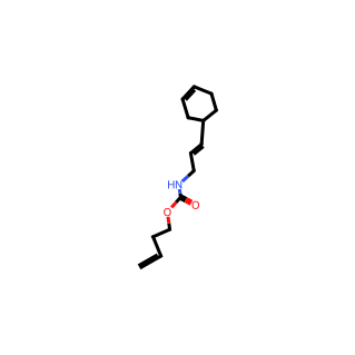 C=CCCOC(=O)NC/C=C/C1CC=CCC1